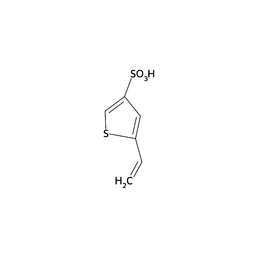 C=Cc1cc(S(=O)(=O)O)cs1